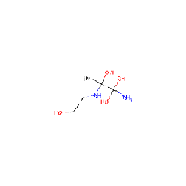 CC(C)C(O)(NCCO)C(N)(O)O